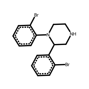 Brc1ccccc1C1CNCCN1c1ccccc1Br